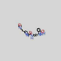 O=C(N[C@H]1CC2(C1)C[C@H](c1n[nH]c(=O)c3ccccc31)C2)c1cnn2cc(CCCN3CCOCC3)ccc12